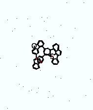 C1=C(c2cccc3oc4ccc(-c5ccc6ccccc6c5)cc4c23)CC(c2cccc3ccc4c5ccccc5sc4c23)C2CC2=C1c1ccccc1